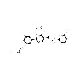 CC(C)COc1cc(F)cc(-c2ccc(C(=O)NS(=O)(=O)c3cccc(N)n3)c(OC(C)C(C)C)n2)c1